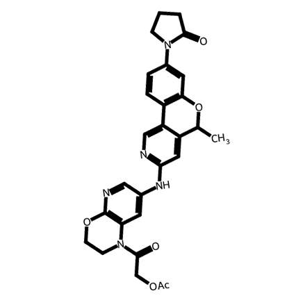 CC(=O)OCC(=O)N1CCOc2ncc(Nc3cc4c(cn3)-c3ccc(N5CCCC5=O)cc3OC4C)cc21